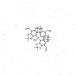 CC1(C)Oc2c(C=O)c3c(c(C(O)(c4c5c(c(C=O)c6c4OC(C)(C)O6)OC(C)(C)O5)c4c5c(c(C=O)c6c4OC(C)(C)O6)OC(C)(C)O5)c2O1)OC(C)(C)O3